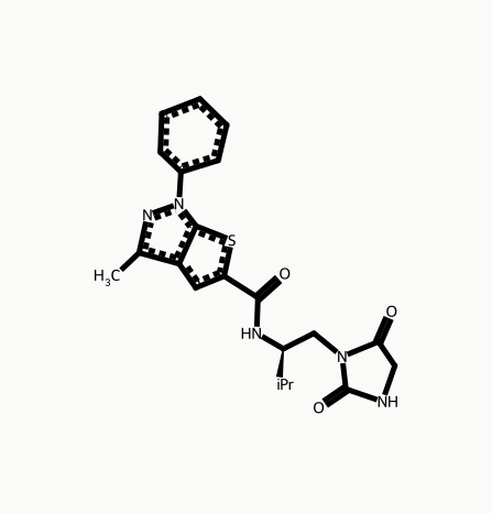 Cc1nn(-c2ccccc2)c2sc(C(=O)N[C@@H](CN3C(=O)CNC3=O)C(C)C)cc12